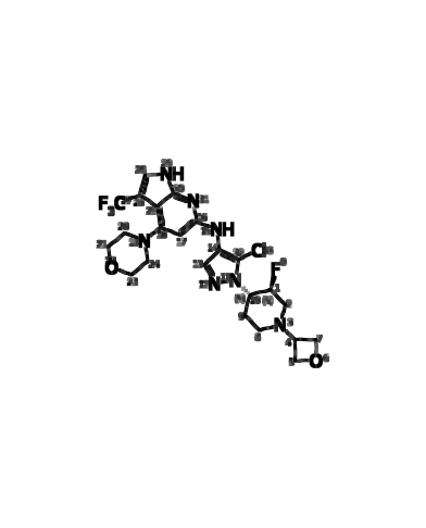 F[C@H]1CN(C2COC2)CC[C@@H]1n1ncc(Nc2cc(N3CCOCC3)c3c(C(F)(F)F)c[nH]c3n2)c1Cl